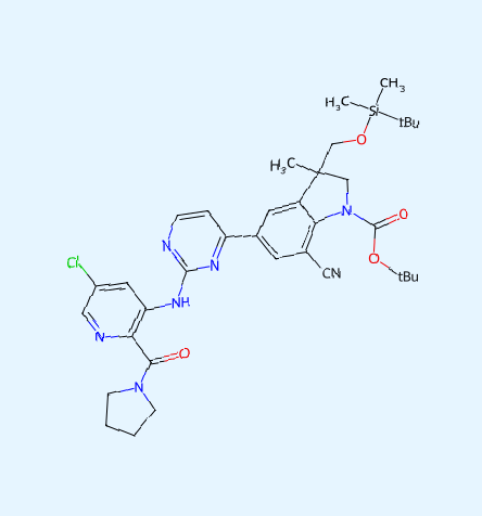 CC(C)(C)OC(=O)N1CC(C)(CO[Si](C)(C)C(C)(C)C)c2cc(-c3ccnc(Nc4cc(Cl)cnc4C(=O)N4CCCC4)n3)cc(C#N)c21